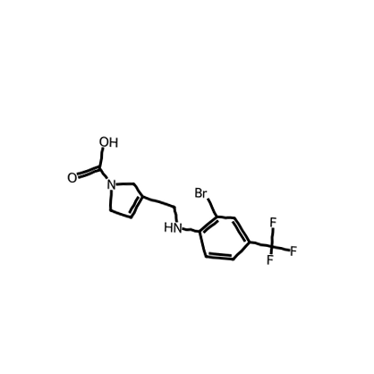 O=C(O)N1CC=C(CNc2ccc(C(F)(F)F)cc2Br)C1